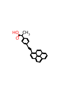 CC(C(=O)O)c1ccc(C#Cc2ccc3ccc4cccc5ccc2c3c45)cc1